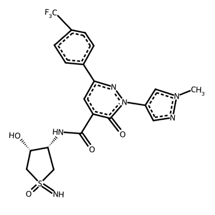 Cn1cc(-n2nc(-c3ccc(C(F)(F)F)cc3)cc(C(=O)N[C@@H]3CS(=N)(=O)C[C@@H]3O)c2=O)cn1